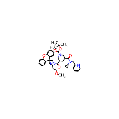 COCCCCC1(CNC(=O)C2CC(C(=O)N(Cc3ccccn3)C3CC3)CN(C(=O)OC(C)(C)C)C2)c2ccccc2Oc2ccccc21